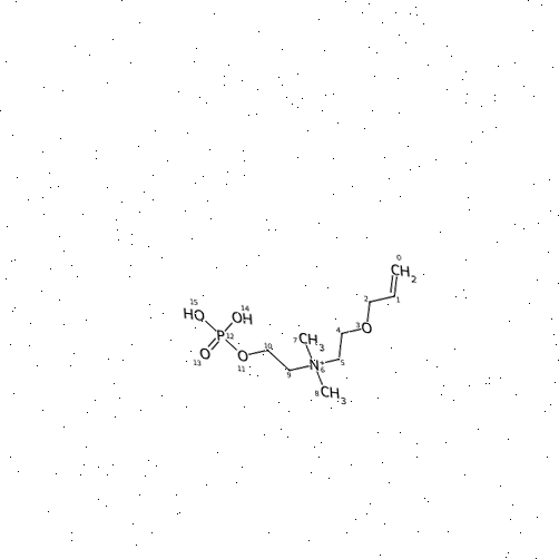 C=CCOCC[N+](C)(C)CCOP(=O)(O)O